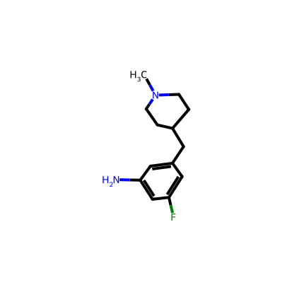 CN1CCC(Cc2cc(N)cc(F)c2)CC1